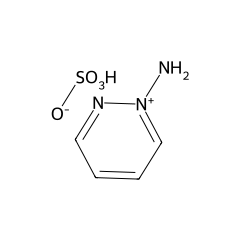 N[n+]1ccccn1.O=S(=O)([O-])O